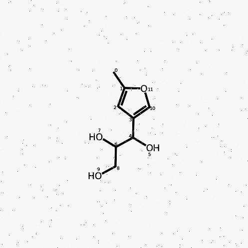 Cc1cc(C(O)C(O)CO)co1